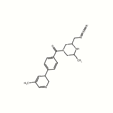 CC1=CC(c2ccc(C(=O)N3CC(C)NC(CN=[N+]=[N-])C3)cc2)CN=C1